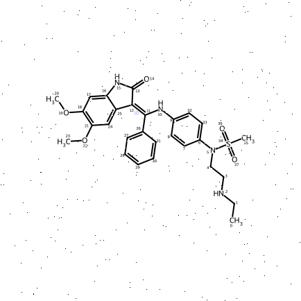 CCNCCN(c1ccc(N/C(=C2\C(=O)Nc3cc(OC)c(OC)cc32)c2ccccc2)cc1)S(C)(=O)=O